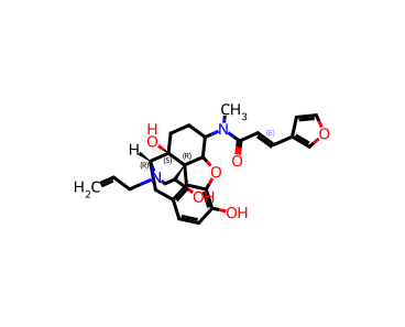 C=CCN1CC(O)[C@]23c4c5ccc(O)c4OC2C(N(C)C(=O)/C=C/c2ccoc2)CC[C@@]3(O)[C@H]1C5